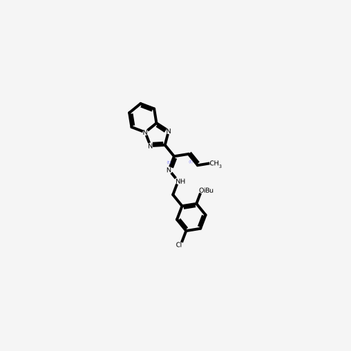 C/C=C/C(=N\NCc1cc(Cl)ccc1OCC(C)C)c1nc2ccccn2n1